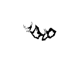 CC(=O)Nc1ccc(-c2ccc3ccccc3n2)cc1